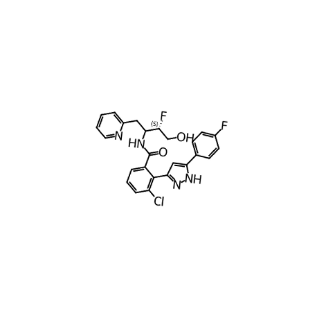 O=C(NC(Cc1ccccn1)[C@H](F)CO)c1cccc(Cl)c1-c1cc(-c2ccc(F)cc2)[nH]n1